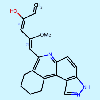 C=C/C(O)=C\C(=C\c1nc2ccc3[nH]ncc3c2c2c1CCCC2)OC